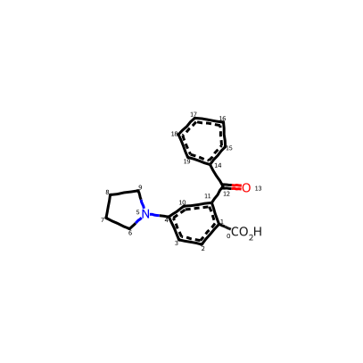 O=C(O)c1ccc(N2CCCC2)cc1C(=O)c1ccccc1